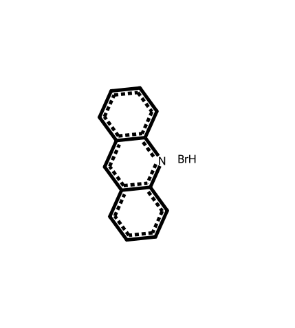 Br.c1ccc2nc3ccccc3cc2c1